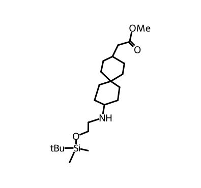 COC(=O)CC1CCC2(CC1)CCC(NCCO[Si](C)(C)C(C)(C)C)CC2